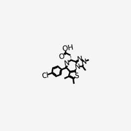 Cc1sc2c(c1C)C(c1ccc(Cl)cc1)=N[C@H](CC(=O)O)C1=NN(C)C(C)N12